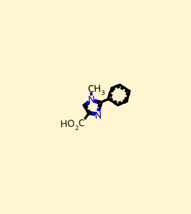 Cn1cc(C(=O)O)nc1-c1ccccc1